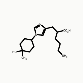 CC1(O)CCC(n2cnc(CC(CCCN)C(=O)O)c2)CC1